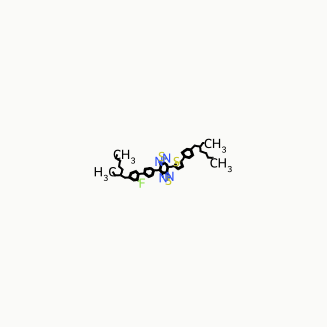 CCCCCC(CC)Cc1ccc(-c2ccc(-c3c4c(c(-c5ccc(-c6ccc(CC(CC)CCCCC)cc6F)cc5)c5nsnc35)N=S=N4)s2)cc1